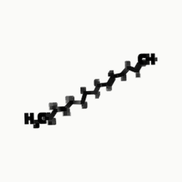 [CH]=CCCC=CCCCCCC=CCC